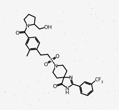 Cc1cc(C(=O)N2CCCC2CO)ccc1CCS(=O)(=O)N1CCC2(CC1)N=C(c1cccc(C(F)(F)F)c1)NC2=O